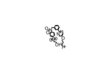 CN(C)CCCOc1cnc(-c2cccc(Cn3c(=O)oc4cc(S(=O)(=O)CCO)ccc43)c2)nc1